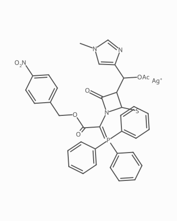 CC(=O)OC(c1cn(C)cn1)C1C(=O)N(C(C(=O)OCc2ccc([N+](=O)[O-])cc2)=P(c2ccccc2)(c2ccccc2)c2ccccc2)C1[S-].[Ag+]